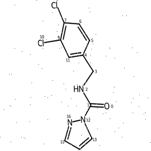 O=C(NCc1ccc(Cl)c(Cl)c1)n1cccn1